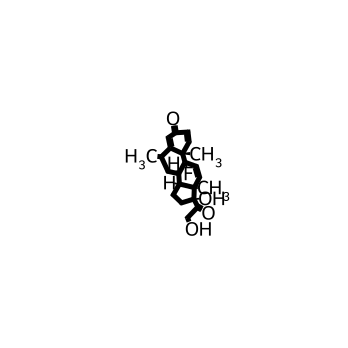 CC1C[C@H]2[C@@H]3CC[C@](O)(C(=O)CO)[C@@]3(C)C=C[C@]2(F)[C@@]2(C)C=CC(=O)C=C12